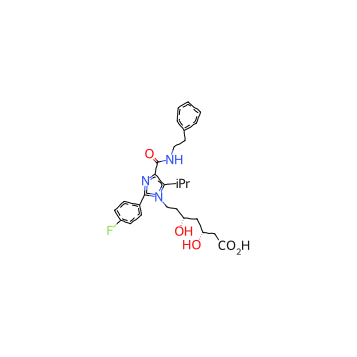 CC(C)c1c(C(=O)NCCc2ccccc2)nc(-c2ccc(F)cc2)n1CC[C@@H](O)C[C@@H](O)CC(=O)O